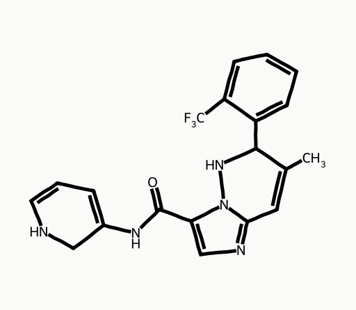 CC1=Cc2ncc(C(=O)NC3=CC=CNC3)n2NC1c1ccccc1C(F)(F)F